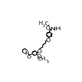 CCOC(=N)c1ccc(OCCCCCOc2ccc(C(=O)N3CCCCC3)cc2OC)cc1